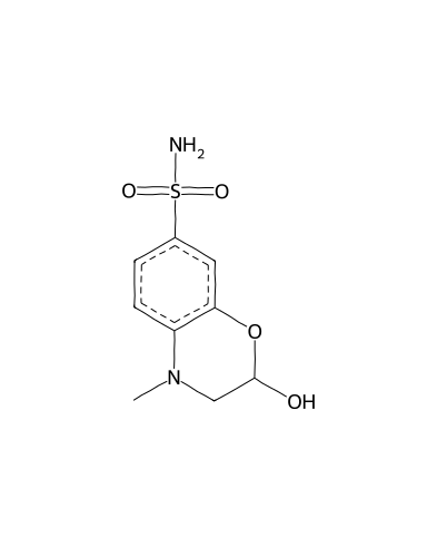 CN1CC(O)Oc2cc(S(N)(=O)=O)ccc21